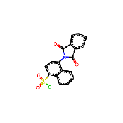 O=C1c2ccccc2C(=O)N1c1ccc(S(=O)(=O)Cl)c2ccccc12